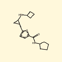 O=C(NC1CCCC1)c1ccc(C2CC2NC2CCC2)s1